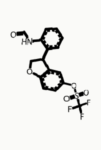 O=CNc1ccccc1C1COc2ccc(OS(=O)(=O)C(F)(F)F)cc21